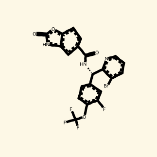 O=C(N[C@@H](c1ccc(OC(F)(F)F)c(F)c1)c1ncccc1Br)c1ccc2oc(=O)[nH]c2c1